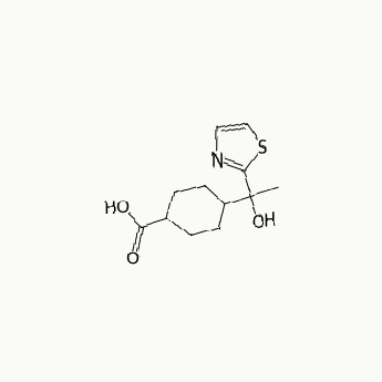 CC(O)(c1nccs1)C1CCC(C(=O)O)CC1